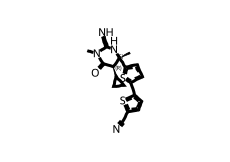 CN1C(=N)N[C@](C)(c2ccc(-c3ccc(C#N)s3)s2)[C@@H](C2CC2)C1=O